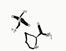 CS(=O)(=O)O.NC(=O)[C@@H]1CCCN1